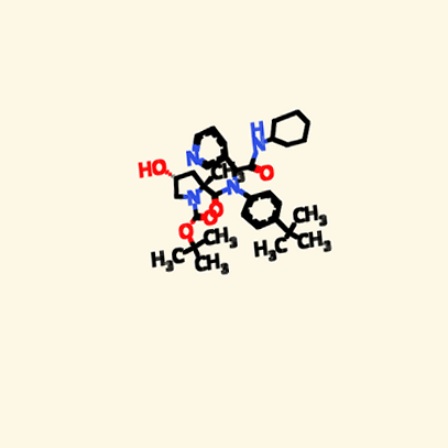 CC(C)(C)OC(=O)N1C[C@H](O)C[C@]1(C)C(=O)N(c1ccc(C(C)(C)C)cc1)C(C(=O)NC1CCCCC1)c1cccnc1